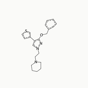 c1ccc(COc2nn(CCN3CCCCC3)cc2-c2ccsc2)cc1